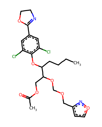 CCCCC(Oc1c(Cl)cc(C2=NCCO2)cc1Cl)C(COC(C)=O)OCOCc1ccon1